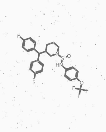 [O-][S+](Nc1ccc(OC(F)(F)F)cc1)N1CCCC(C(c2ccc(F)cc2)c2ccc(F)cc2)C1